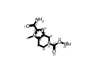 Cn1c(C(N)=O)nc2c1CCN(C(=O)OC(C)(C)C)C2